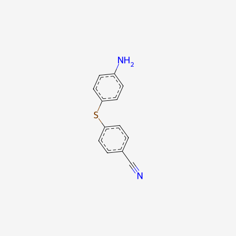 N#Cc1ccc(Sc2ccc(N)cc2)cc1